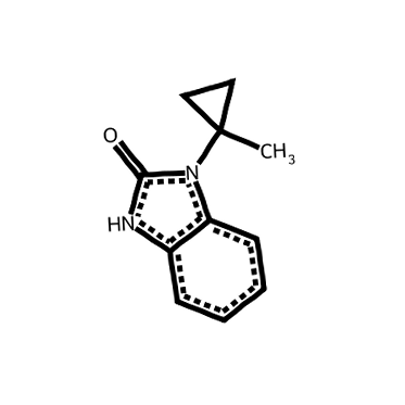 CC1(n2c(=O)[nH]c3ccccc32)CC1